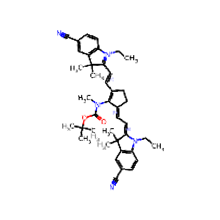 CCN1/C(=C/C=C2\CCC(/C=C/C3=[N+](CC)c4ccc(C#N)cc4C3(C)C)=C2N(C)C(=O)OC(C)(C)C)C(C)(C)c2cc(C#N)ccc21